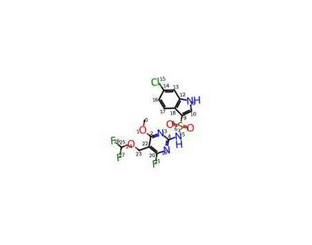 COc1nc(NS(=O)(=O)c2c[nH]c3cc(Cl)ccc23)nc(F)c1COC(F)F